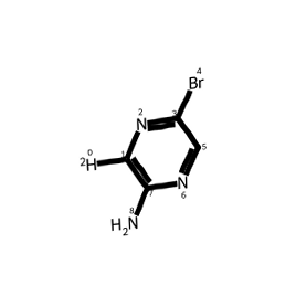 [2H]c1nc(Br)cnc1N